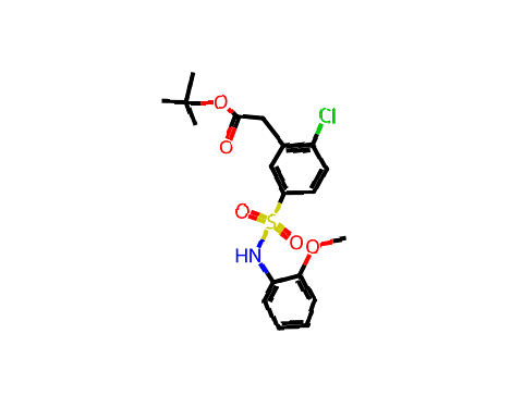 COc1ccccc1NS(=O)(=O)c1ccc(Cl)c(CC(=O)OC(C)(C)C)c1